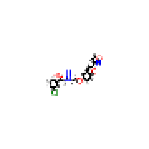 O[C@@H](CNCCOc1ccc2oc(-c3ccon3)cc2c1)c1cccc(Cl)c1